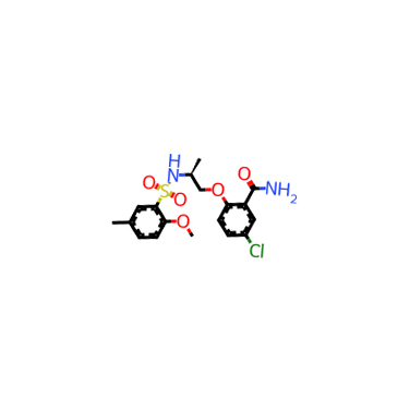 COc1ccc(C)cc1S(=O)(=O)N[C@@H](C)COc1ccc(Cl)cc1C(N)=O